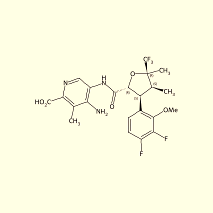 COc1c([C@H]2[C@H](C(=O)Nc3cnc(C(=O)O)c(C)c3N)O[C@@](C)(C(F)(F)F)[C@H]2C)ccc(F)c1F